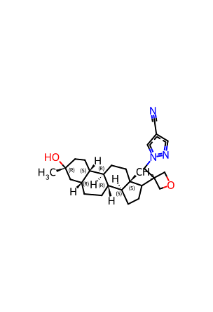 C[C@@]1(O)CC[C@H]2[C@H](CC[C@@H]3[C@@H]2CC[C@]2(C)C(C4(Cn5cc(C#N)cn5)COC4)CC[C@@H]32)C1